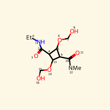 CCNC(=O)C1C(OCO)C(C(=O)NC)C1OCO